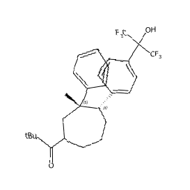 CC(C)(C)C(=O)C1CCC[C@@H](c2ccc(C(O)(C(F)(F)F)C(F)(F)F)cc2)[C@@](C)(c2ccccc2)C1